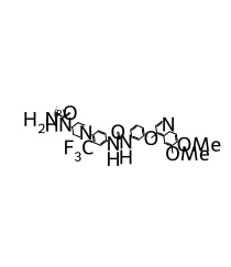 COc1cc2nccc(Oc3cccc(NC(=O)Nc4ccc(N5CCC(NC(=O)[C@@H](C)N)CC5)c(C(F)(F)F)c4)c3)c2cc1OC